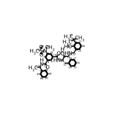 C[C@@H](NC(=O)c1cc(C(=O)N[C@@H](Cc2ccccc2)[C@H](O)CNCc2cccc(C(C)(C)C)c2O)cc(N(C)S(C)(=O)=O)c1)c1ccccc1